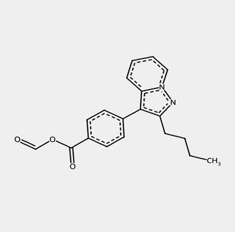 CCCCc1nn2ccccc2c1-c1ccc(C(=O)OC=O)cc1